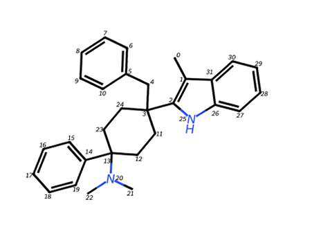 Cc1c(C2(Cc3ccccc3)CCC(c3ccccc3)(N(C)C)CC2)[nH]c2ccccc12